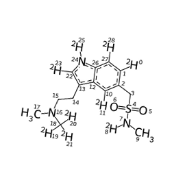 [2H]c1c(CS(=O)(=O)N([2H])C)c([2H])c2c(CCN(C)C([2H])([2H])[2H])c([2H])n([2H])c2c1[2H]